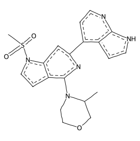 CC1COCCN1c1nc(-c2ccnc3[nH]ccc23)cc2c1ccn2S(C)(=O)=O